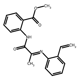 C=Cc1ccccc1/N=C(\C)C(=O)Nc1ccccc1C(=O)OC